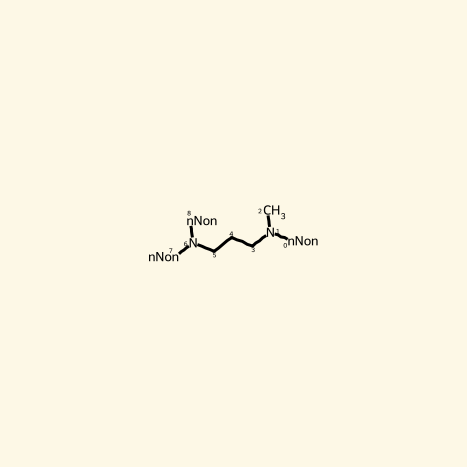 CCCCCCCCCN(C)CCCN(CCCCCCCCC)CCCCCCCCC